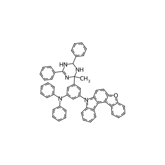 CC1(c2cc(N(c3ccccc3)c3ccccc3)cc(-n3c4ccccc4c4c5c(ccc43)oc3ccccc35)c2)N=C(c2ccccc2)NC(c2ccccc2)N1